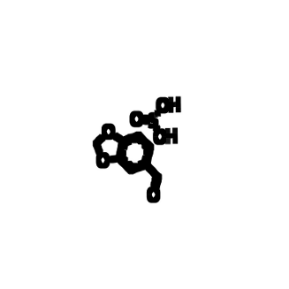 O=Cc1ccc2c(c1)OCO2.O=S(O)O